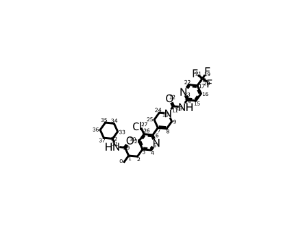 CC(Cc1cnc(C2=CCN(C(=O)Nc3ccc(C(F)(F)F)cn3)CC2)c(Cl)c1)C(=O)NC1CCCCC1